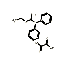 CCOC(C)N(c1ccccc1)c1ccccc1.O=C(O)C(=O)O